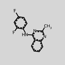 Cc1nc(Nc2ccc(F)cc2F)c2ccccc2n1